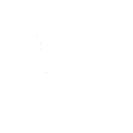 CCCCCCCCCC[N+](C)(C)CNC(=O)C12CC3CC(CC(C3)C1)C2.[Br-]